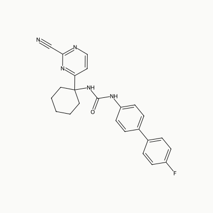 N#Cc1nccc(C2(NC(=O)Nc3ccc(-c4ccc(F)cc4)cc3)CCCCC2)n1